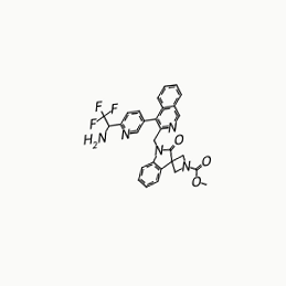 COC(=O)N1CC2(C1)C(=O)N(Cc1ncc3ccccc3c1-c1ccc(C(N)C(F)(F)F)nc1)c1ccccc12